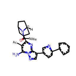 CNC(=O)N1C2CC[C@@H]1CC(c1nc3c(-c4ccc(-c5ccccc5)nc4)cnn3c(N)c1C(C)=O)C2